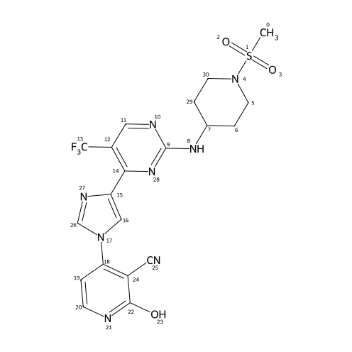 CS(=O)(=O)N1CCC(Nc2ncc(C(F)(F)F)c(-c3cn(-c4ccnc(O)c4C#N)cn3)n2)CC1